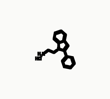 Cl.NCCn1c(-c2ccccc2)cc2ccccc21